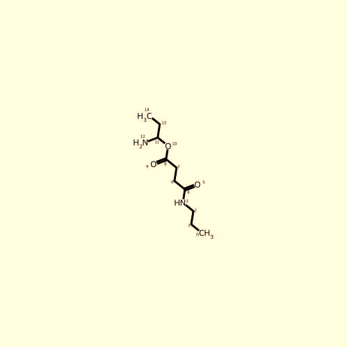 CCCNC(=O)CCC(=O)OC(N)CC